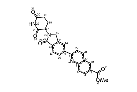 COC(=O)c1ccc2nc(-c3ccc4c(c3)CN(C3CCC(=O)NC3=O)C4=O)ccc2c1